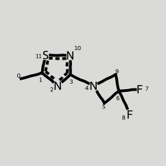 Cc1nc(N2CC(F)(F)C2)ns1